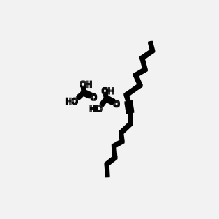 CCCCCCCC#CCCCCCCC.O=C(O)O.O=C(O)O